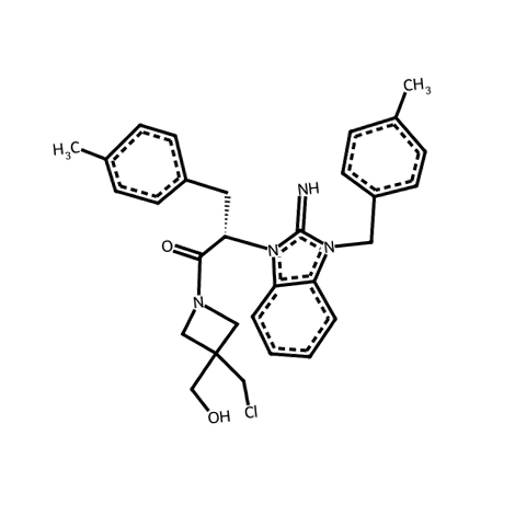 Cc1ccc(C[C@@H](C(=O)N2CC(CO)(CCl)C2)n2c(=N)n(Cc3ccc(C)cc3)c3ccccc32)cc1